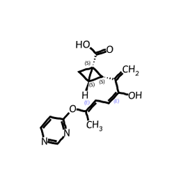 C=C(/C(O)=C\C=C(/C)Oc1ccncn1)[C@@H]1[C@@H]2C[C@@]12C(=O)O